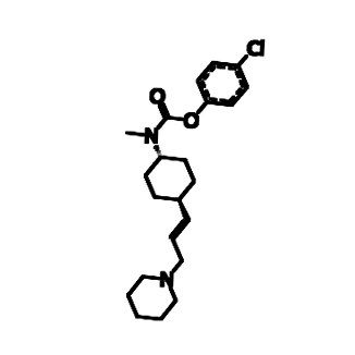 CN(C(=O)Oc1ccc(Cl)cc1)[C@H]1CC[C@H](/C=C/CN2CCCCC2)CC1